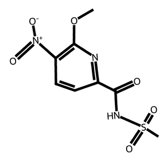 COc1nc(C(=O)NS(C)(=O)=O)ccc1[N+](=O)[O-]